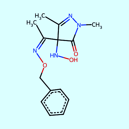 CC(=NOCc1ccccc1)C1(NO)C(=O)N(C)N=C1C